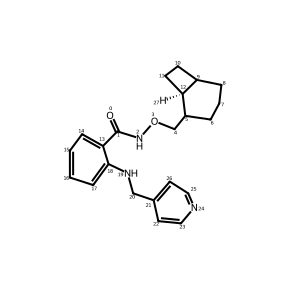 O=C(NOCC1CCCC2CC[C@@H]21)c1ccccc1NCc1ccncc1